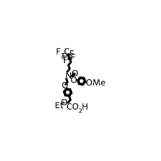 CCOC(Cc1ccc(OCCN(CCCCC(F)(F)C(F)(F)C(F)(F)F)C(=O)Oc2ccc(OC)cc2)cc1)C(=O)O